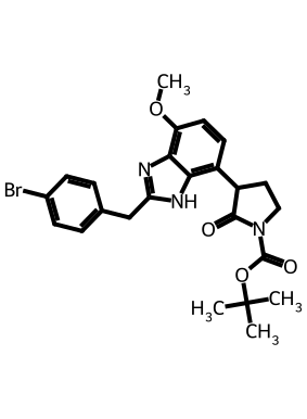 COc1ccc(C2CCN(C(=O)OC(C)(C)C)C2=O)c2[nH]c(Cc3ccc(Br)cc3)nc12